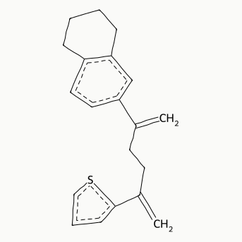 C=C(CCC(=C)c1cccs1)c1ccc2c(c1)CCCC2